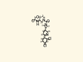 O=C1COC2CCN(C(=O)N3CC(c4ccc(-c5ccc(Cl)cc5Cl)nc4)C3)CC2N1